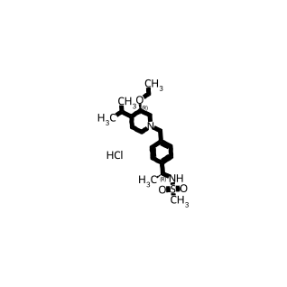 CCO[C@H]1CN(Cc2ccc([C@@H](C)NS(C)(=O)=O)cc2)CCC1C(C)C.Cl